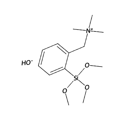 CO[Si](OC)(OC)c1ccccc1C[N+](C)(C)C.[OH-]